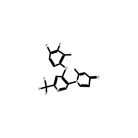 Cc1c(Oc2cc(C(F)(F)F)ncc2-n2ccc(=O)cc2C)ccc(F)c1F